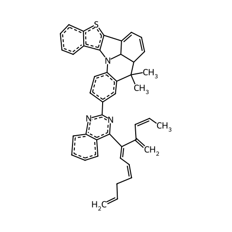 C=CC/C=C\C=C(/C(=C)/C=C\C)c1nc(-c2ccc3c(c2)C(C)(C)C2C=CC=C4c5sc6ccccc6c5N3C42)nc2ccccc12